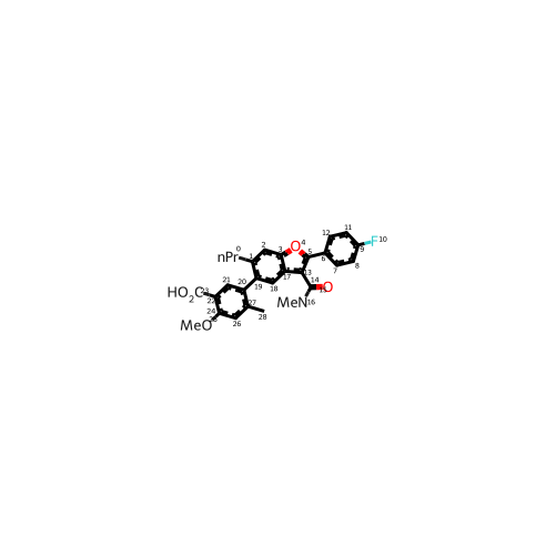 CCCc1cc2oc(-c3ccc(F)cc3)c(C(=O)NC)c2cc1-c1cc(C(=O)O)c(OC)cc1C